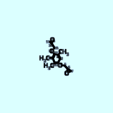 Cc1cc(OCC2CO2)c(C)c(C)c1OCC1CO1